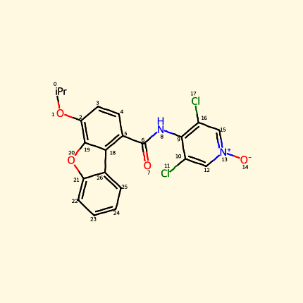 CC(C)Oc1ccc(C(=O)Nc2c(Cl)c[n+]([O-])cc2Cl)c2c1oc1ccccc12